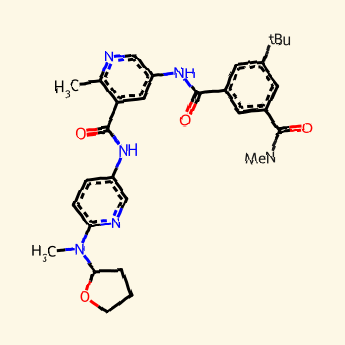 CNC(=O)c1cc(C(=O)Nc2cnc(C)c(C(=O)Nc3ccc(N(C)C4CCCO4)nc3)c2)cc(C(C)(C)C)c1